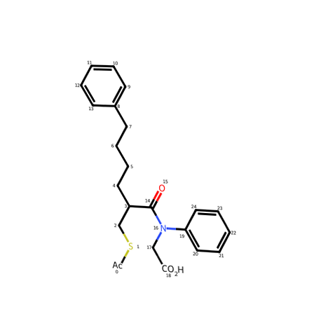 CC(=O)SCC(CCCCc1ccccc1)C(=O)N(CC(=O)O)c1ccccc1